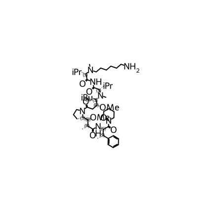 CC[C@H](C)[C@@H]([C@@H](CC(=O)N1CCC[C@H]1[C@H](OC)[C@@H](C)C(=O)N[C@H](C(=O)N1CCCCO1)[C@@H](C)c1ccccc1)OC)N(C)[C@H](C(=O)NC(=O)[C@H](C(C)C)N(C)CCCCCCN)C(C)C